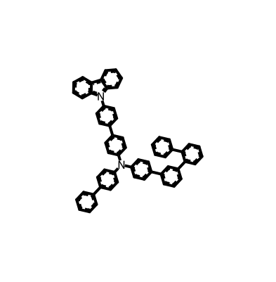 c1ccc(-c2ccc(N(c3ccc(-c4ccc(-n5c6ccccc6c6ccccc65)cc4)cc3)c3ccc(-c4cccc(-c5ccccc5-c5ccccc5)c4)cc3)cc2)cc1